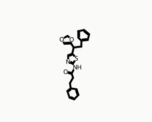 O=C(CCc1ccccc1)Nc1ncc(C(Cc2ccccc2)C2=COCO2)s1